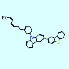 CC/C=C\C=C/CCC1=CCCC(N2C3C=CC=CC3C3C=C(C4=CC=C5SC6=C(C=CCC6)C5C4)C=CC32)C1